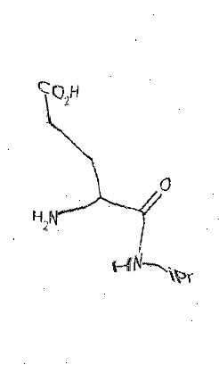 CC(C)NC(=O)C(N)CCC(=O)O